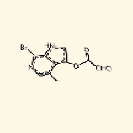 O=CC(=O)Oc1c[nH]c2c(Br)ncc(F)c12